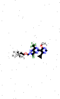 COc1ncnc(C2CC2)c1-c1nc(C(F)(F)F)c2nn(COCC[Si](C)(C)C)c(Br)c2n1